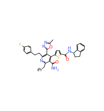 Cc1nnc(-c2c(CCc3ccc(F)cc3)nc(CC(C)C)c(C(N)=O)c2-c2ccc(C(=O)N[C@@H]3CCc4ccccc43)s2)o1